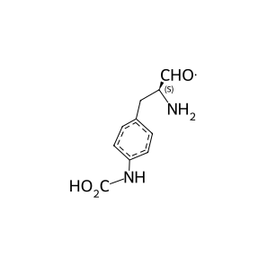 N[C@H]([C]=O)Cc1ccc(NC(=O)O)cc1